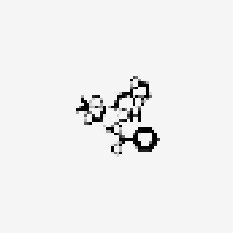 CC1(C)O[C@@H](COC(=O)c2ccccc2)[C@@H](C(O)CC2OCCO2)O1